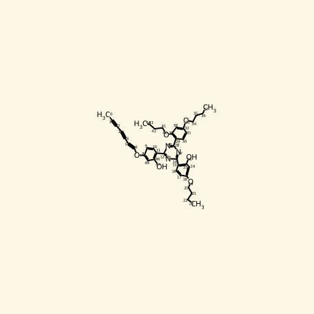 CC#CC#CC#COc1ccc(-c2nc(-c3ccc(OCCCC)cc3O)nc(-c3ccc(OCCCC)cc3OCCCC)n2)c(O)c1